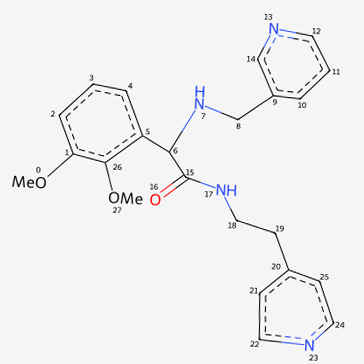 COc1cccc(C(NCc2cccnc2)C(=O)NCCc2ccncc2)c1OC